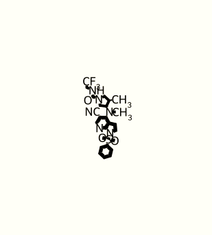 C[C@@H]1CN(C(=O)NCC(F)(F)F)CC1N(C)c1c(C#N)cnc2c1ccn2S(=O)(=O)c1ccccc1